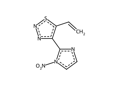 C=Cc1snnc1-c1nccn1[N+](=O)[O-]